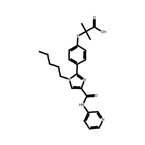 CCCCCn1cc(C(=O)Nc2cccnc2)nc1-c1ccc(SC(C)(C)C(=O)O)cc1